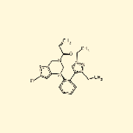 C=CC(=O)N1Cc2sc(Cl)cc2[C@H](c2ccccc2-c2cn(CC)nc2CC)C1